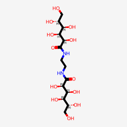 O=C(NCCNC(=O)[C@H](O)[C@@H](O)[C@H](O)[C@H](O)CO)[C@H](O)[C@@H](O)[C@H](O)[C@H](O)CO